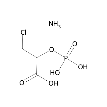 N.O=C(O)C(CCl)OP(=O)(O)O